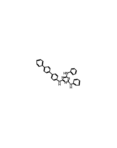 c1ccc(Nc2nc(Nc3ccccc3)nc(Nc3ccc(-c4ccc(-c5ccccc5)cc4)cc3)n2)cc1